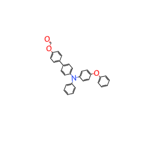 O=COc1ccc(-c2ccc(N(c3ccccc3)c3ccc(Oc4ccccc4)cc3)cc2)cc1